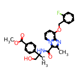 COC(=O)c1ccc(C(C)(CO)NC(=O)c2c(C)nc3c(OCc4ccccc4F)cccn23)cc1